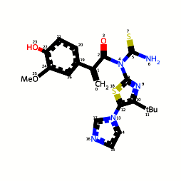 C=C(C(=O)N(C(N)=S)c1nc(C(C)(C)C)c(-n2ccnc2)s1)c1ccc(O)c(OC)c1